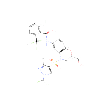 Cc1nn(C(F)F)cc1S(=O)(=O)N1C[C@H](CO)Oc2ccc(NC(=O)c3c(Cl)cccc3C(F)(F)F)cc21